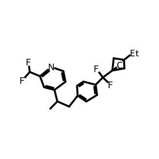 CCC12CC(C(F)(F)c3ccc(CC(C)c4ccnc(C(F)F)c4)cc3)(C1)C2